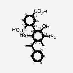 Cc1c(C(C)c2ccccc2)c(C(C)(C)C)c(-c2cc(C(=O)O)ccc2C(=O)O)c(O)c1C(C)(C)C